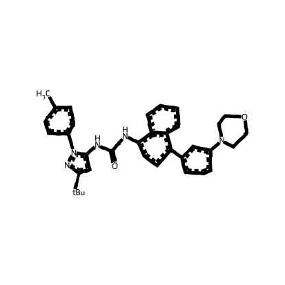 Cc1ccc(-n2nc(C(C)(C)C)cc2NC(=O)Nc2ccc(-c3cccc(N4CCOCC4)c3)c3ccccc23)cc1